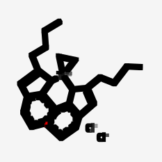 CCCCC1=Cc2ccccc2[CH]1[Ti+2]1([CH]2C(CCCC)=Cc3ccccc32)[CH2][CH2]1.[Cl-].[Cl-]